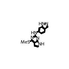 CSc1nc(Nc2ccc3cn[nH]c3c2)nc2[nH]ccc12